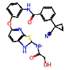 N#CC1(c2cccc(C(=O)Nc3cccc(Oc4ccc5c(n4)SC(NC(=O)CO)N5)c3)c2)CC1